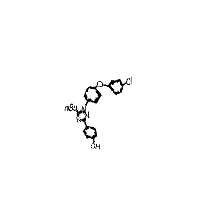 CCCCc1nc(-c2ccc(O)cc2)nn1-c1ccc(Oc2ccc(Cl)cc2)cc1